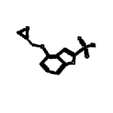 CCS(=O)(=O)c1cc2c(OC[C@@H]3CO3)cccc2o1